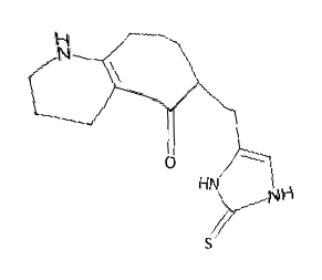 O=C1C2=C(CCC1Cc1c[nH]c(=S)[nH]1)NCCC2